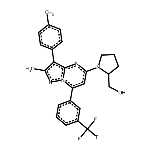 Cc1ccc(-c2c(C)nn3c(-c4cccc(C(F)(F)F)c4)cc(N4CCCC4CO)nc23)cc1